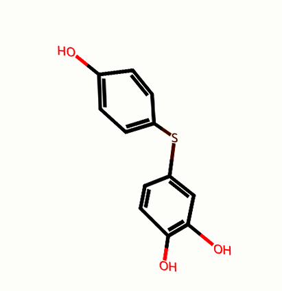 Oc1ccc(Sc2ccc(O)c(O)c2)cc1